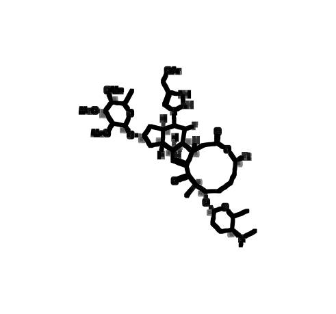 CC[C@H]1CCC[C@H](O[C@H]2CC[C@H](N(C)C)C(C)O2)[C@@H](C)C(=O)C2=C[C@H]3[C@@H]4C[C@H](O[C@@H]5OC(C)[C@H](OC)[C@@H](OC)C5OC)C[C@H]4C(N4C=C(COC(C)=O)NN4)C(F)[C@H]3[C@@H]2CC(=O)O1